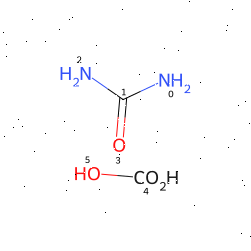 NC(N)=O.O=C(O)O